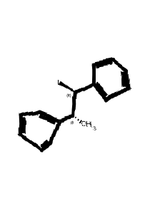 C[C@H](c1ccccc1)[C@@H](I)c1ccccc1